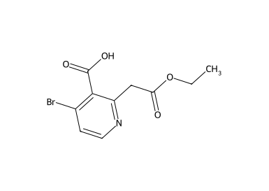 CCOC(=O)Cc1nccc(Br)c1C(=O)O